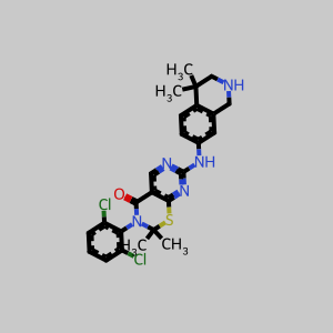 CC1(C)CNCc2cc(Nc3ncc4c(n3)SC(C)(C)N(c3c(Cl)cccc3Cl)C4=O)ccc21